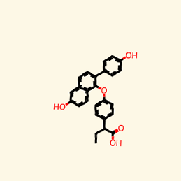 CCC(C(=O)O)c1ccc(Oc2c(-c3ccc(O)cc3)ccc3cc(O)ccc23)cc1